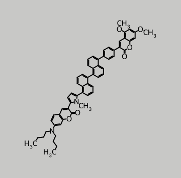 CCCCN(CCCC)c1ccc2cc(-c3ccc(-c4cccc5c(-c6cccc7c(-c8ccc(-c9cc%10c(OC)cc(OC)cc%10oc9=O)cc8)cccc67)cccc45)n3C)c(=O)oc2c1